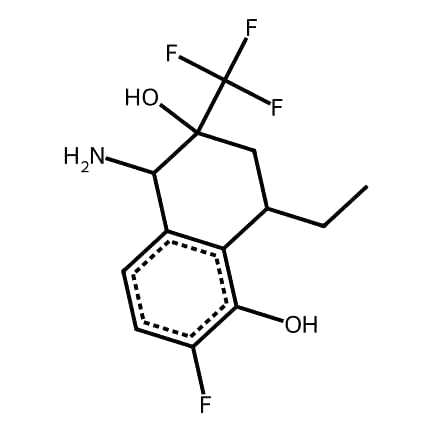 CCC1CC(O)(C(F)(F)F)C(N)c2ccc(F)c(O)c21